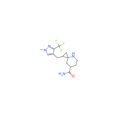 Cn1cc(CC2CC23CC(C(N)=O)CCN3)c(C(F)(F)F)n1